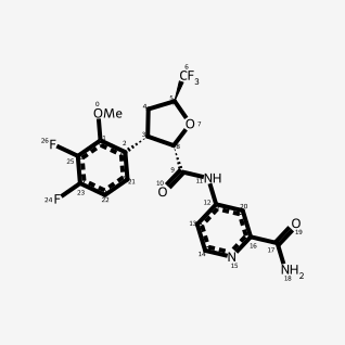 COc1c([C@@H]2C[C@@H](C(F)(F)F)O[C@@H]2C(=O)Nc2ccnc(C(N)=O)c2)ccc(F)c1F